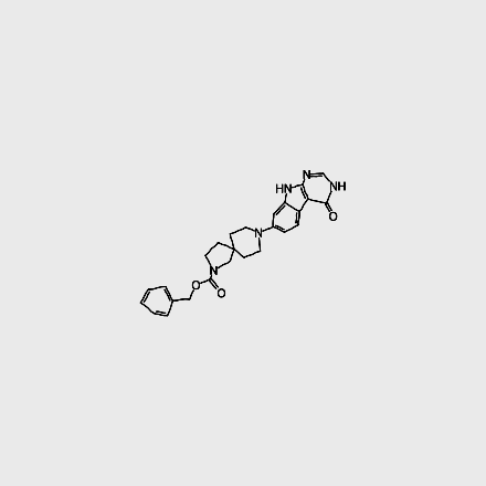 O=C(OCc1ccccc1)N1CCC2(CCN(c3ccc4c(c3)[nH]c3nc[nH]c(=O)c34)CC2)C1